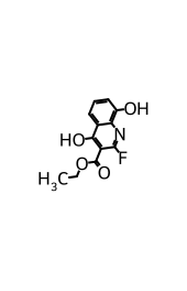 CCOC(=O)c1c(F)nc2c(O)cccc2c1O